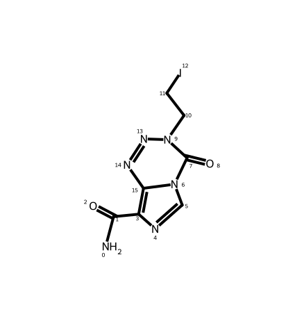 NC(=O)c1ncn2c(=O)n(CCI)nnc12